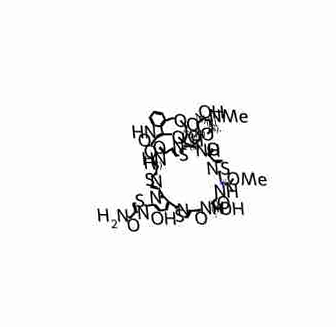 CN[C@@H]1[C@H](C)O[C@@H](O[C@@H]2C(=O)OCc3cccc4[nH]c5c(c34)COC2[C@@H]2NC(=O)c3csc(n3)/C(=C(/C)OC)NC(=O)[C@H]([C@@H](C)O)NC(=O)c3csc(n3)-c3cc(O)c(-c4nc(C(N)=O)cs4)nc3-c3csc(n3)[C@H](COC5=O)NC(=O)c3csc2n3)C[C@]1(C)O